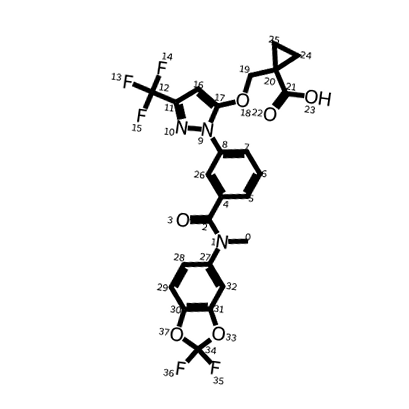 CN(C(=O)c1cccc(-n2nc(C(F)(F)F)cc2OCC2(C(=O)O)CC2)c1)c1ccc2c(c1)OC(F)(F)O2